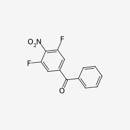 O=C(c1ccccc1)c1cc(F)c([N+](=O)[O-])c(F)c1